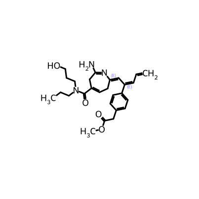 C=C/C=C(\C=C1/CC=C(C(=O)N(CCC)CCCO)CC(N)=N1)c1ccc(CC(=O)OC)cc1